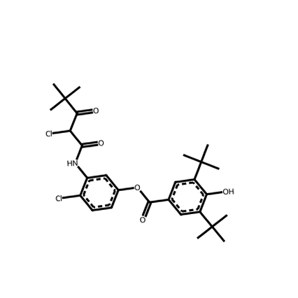 CC(C)(C)C(=O)C(Cl)C(=O)Nc1cc(OC(=O)c2cc(C(C)(C)C)c(O)c(C(C)(C)C)c2)ccc1Cl